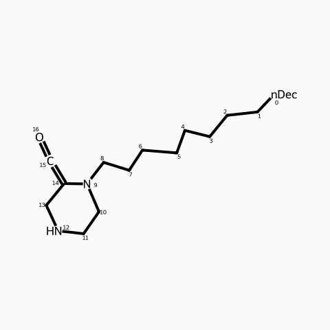 CCCCCCCCCCCCCCCCCCN1CCNCC1=C=O